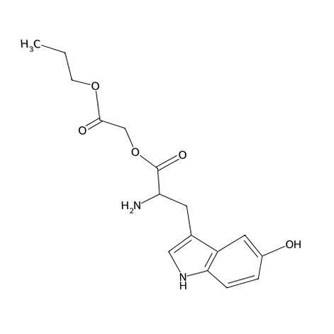 CCCOC(=O)COC(=O)C(N)Cc1c[nH]c2ccc(O)cc12